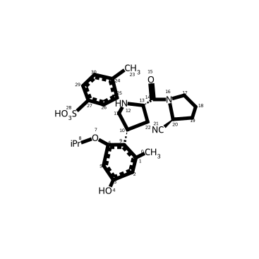 Cc1cc(O)cc(OC(C)C)c1[C@@H]1CN[C@H](C(=O)N2CCC[C@H]2C#N)C1.Cc1ccc(S(=O)(=O)O)cc1